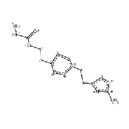 CC(C)(C)NC(=O)OCCc1ccc(CCc2csc(N)n2)cc1